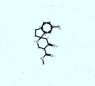 COC(=O)C1COC2(CCc3ccc(Br)cc32)CC1=O